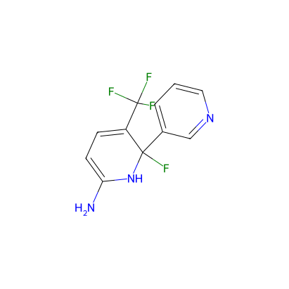 NC1=CC=C(C(F)(F)F)C(F)(c2cccnc2)N1